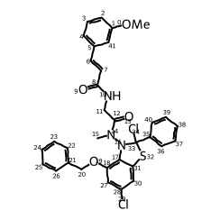 COc1cccc(C=CC(=O)NCC(=O)N(C)N2c3c(OCc4ccccc4)cc(Cl)cc3SC2(Cl)c2ccccc2)c1